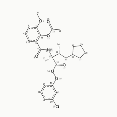 COc1ccnc(C(=O)N[C@](C)(C(=O)OOc2cccc(Cl)c2)C(C)CC2CCCC2)c1OC(C)=O